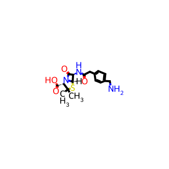 CC1(C)S[C@@H]2[C@H](NC(=O)Cc3ccc(CN)cc3)C(=O)N2[C@H]1C(=O)O